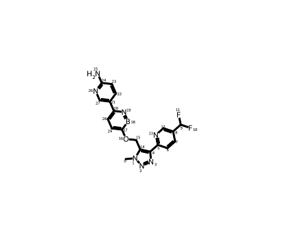 Cn1nnc(-c2ccc(C(F)F)cn2)c1COc1bnc(-c2ccc(N)nc2)cc1